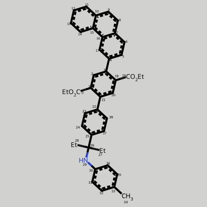 CCOC(=O)c1cc(-c2ccc3ccc4ccccc4c3c2)c(C(=O)OCC)cc1-c1ccc(C(CC)(CC)Nc2ccc(C)cc2)cc1